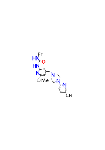 CCNC(=O)Nc1cc(CN2CCN(c3ccc(C#N)cn3)CC2)cc(OC)n1